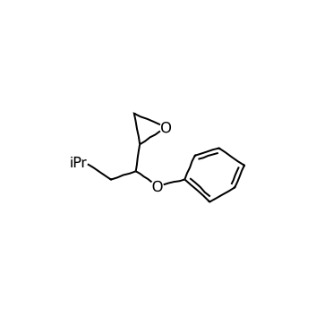 CC(C)CC(Oc1ccccc1)C1CO1